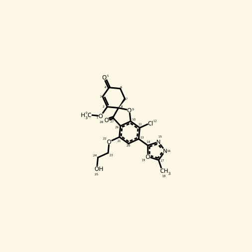 COC1=CC(=O)CC[C@]12Oc1c(Cl)c(-c3nnc(C)o3)cc(OCCO)c1C2=O